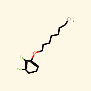 CCCCCCCCOC1=CC[CH]C(F)=C1F